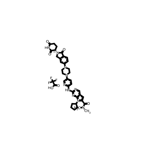 CN(C)C(=O)c1cc2cnc(Nc3ccc(N4CCN(c5ccc6c(c5)CN([C@H]5CCC(=O)NC5=O)C6=O)CC4)cn3)nc2n1C1CCCC1.O=C(O)C(F)(F)F